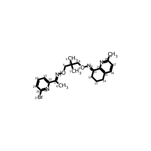 C/C(=N\OCC(C)(C)CO/N=C1\CCCc2ccc(C)nc21)c1cccc(Br)n1